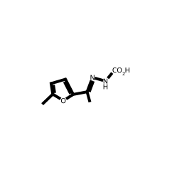 CC(=NNC(=O)O)c1ccc(C)o1